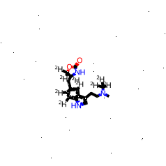 [2H]c1c(C[C@]2([2H])NC(=O)OC2([2H])[2H])c([2H])c2c(CCN(C)C([2H])([2H])[2H])c[nH]c2c1[2H]